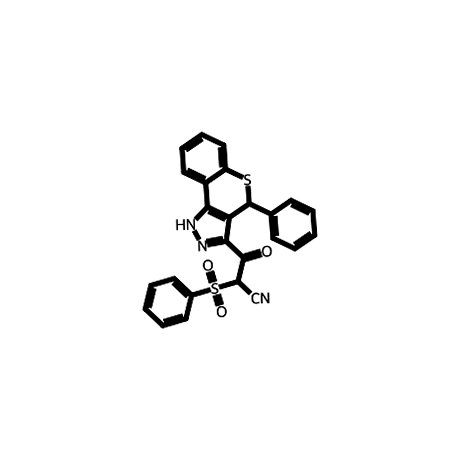 N#CC(C(=O)c1n[nH]c2c1C(c1ccccc1)Sc1ccccc1-2)S(=O)(=O)c1ccccc1